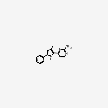 Nc1nccc(-c2[nH]c(-c3ccccc3)cc2I)n1